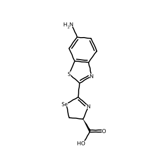 Nc1ccc2nc(C3=N[C@@H](C(=O)O)C[Se]3)sc2c1